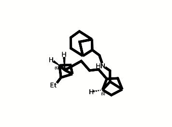 CCC1C2C[C@@H]1[C@@H]2CCCC1CC2C[C@@H]1C2CNCC1C2CCCC1C2